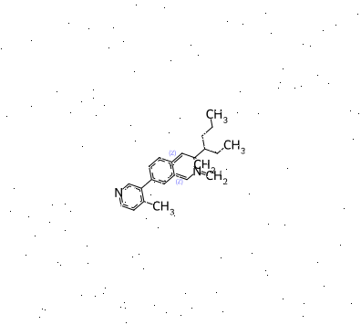 C=N/C=c1/cc(-c2cnccc2C)cc/c1=C/C(=C)C(CC)CCC